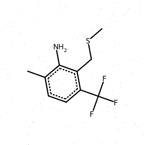 CSCc1c(C(F)(F)F)ccc(C)c1N